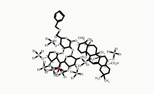 CC[Si](CC)(CC)OCC1O[C@@H](OC2[C@H](O[C@H]3CCC4(C)C5CC=C6C7CC(C)(C)CC[C@]7(C(=O)O)[C@@H](O[Si](CC)(CC)CC)C[C@@]6(C)C5(C)CC[C@H]4[C@@]3(C)C=O)OC(C(=O)OCc3ccccc3)[C@@H](O[Si](CC)(CC)CC)[C@@H]2O[C@@H]2OC[C@@H](O[Si](CC)(CC)CC)[C@H](O[Si](CC)(CC)CC)C2O[Si](CC)(CC)CC)C(O[Si](CC)(CC)CC)[C@@H](O[Si](CC)(CC)CC)[C@H]1O[Si](CC)(CC)CC